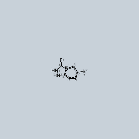 FC1NNc2ccc(Br)cc21